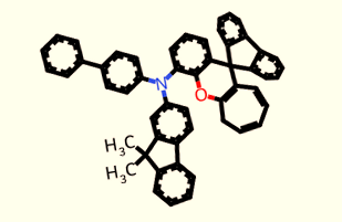 CC1(C)c2ccccc2-c2ccc(N(c3ccc(-c4ccccc4)cc3)c3cccc4c3OC3=C(C=CC=CC3)C43c4ccccc4-c4ccccc43)cc21